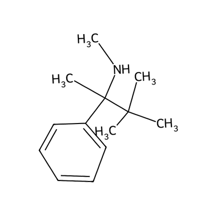 CNC(C)(c1ccccc1)C(C)(C)C